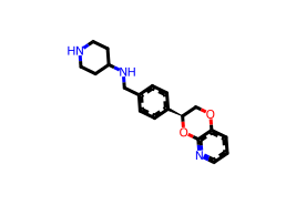 c1cnc2c(c1)OC[C@H](c1ccc(CNC3CCNCC3)cc1)O2